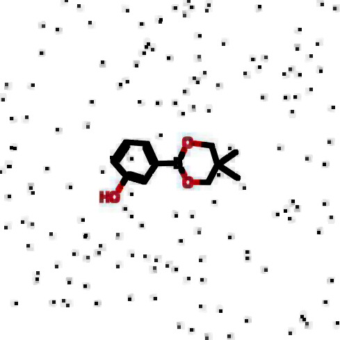 CC1(C)COB(c2cccc(O)c2)OC1